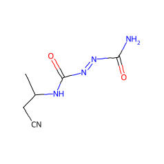 CC(CC#N)NC(=O)N=NC(N)=O